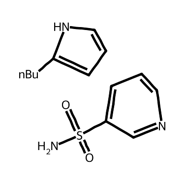 CCCCc1ccc[nH]1.NS(=O)(=O)c1cccnc1